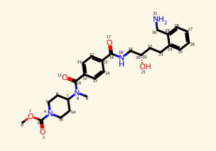 COC(=O)N1CCC(N(C)C(=O)c2ccc(C(=O)NC[C@@H](O)CCc3ccccc3CN)cc2)CC1